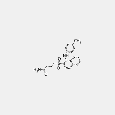 Cc1ccc(Nc2c(S(=O)(=O)CCCC(N)=O)ccc3ccccc23)cc1